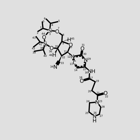 CC(C)[Si]1(C(C)C)OC[C@H]2O[C@@H](n3ccc(NC(=O)CCC(=O)N4CCNCC4)nc3=O)[C@@H](C#N)[C@@H]2O[Si](C(C)C)(C(C)C)O1